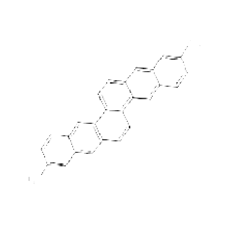 Cc1ccc2cc3c(ccc4c5cc6ccc(C(F)(F)F)cc6cc5ccc34)cc2c1